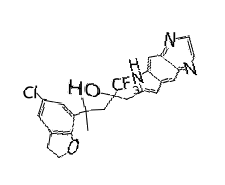 CC(C)(CC(O)(Cc1cc2cc3nccnc3cc2[nH]1)C(F)(F)F)c1cc(Cl)cc2c1OCC2